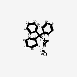 O=C[C@H]1CN1C(c1ccccc1)(c1ccccc1)c1ccccc1